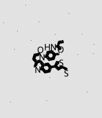 C=CC(=O)Nc1cc(-n2c(=O)ccc3cnc4ccc(-c5csc(C=S)c5)cc4c32)ccc1C